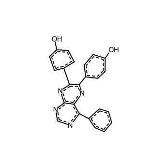 Oc1ccc(-c2nc3ncnc(-c4ccccc4)c3nc2-c2ccc(O)cc2)cc1